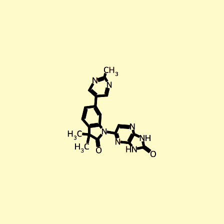 Cc1ncc(-c2ccc3c(c2)N(c2cnc4[nH]c(=O)[nH]c4n2)C(=O)C3(C)C)cn1